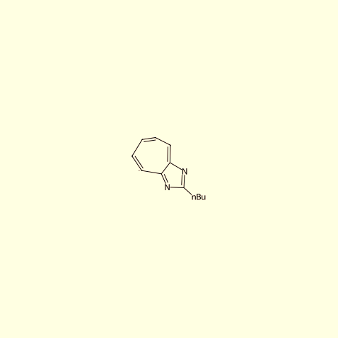 CCCCc1nc2[c]ccccc-2n1